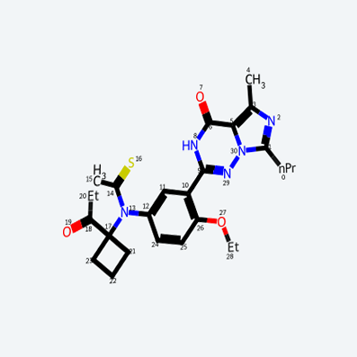 CCCc1nc(C)c2c(=O)[nH]c(-c3cc(N(C(C)=S)C4(C(=O)CC)CCC4)ccc3OCC)nn12